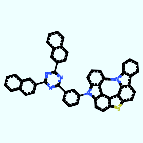 c1cc(-c2nc(-c3ccc4ccccc4c3)nc(-c3ccc4ccccc4c3)n2)cc(-n2c3ccc4sc5ccc6c7ccccc7n7c8cccc2c8c3c4c5c67)c1